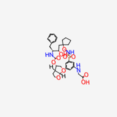 O=C(O)CNc1cccc(S(=O)(=O)NOC2(C[C@@H](O)[C@H](Cc3ccccc3)NC(=O)O[C@@H]3CO[C@@H]4OCC[C@@H]43)CCCC2)c1